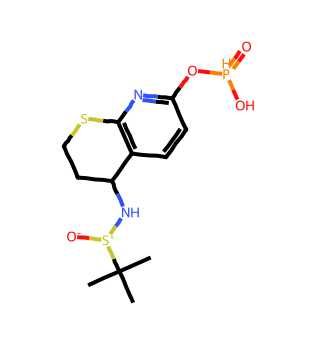 CC(C)(C)[S+]([O-])NC1CCSc2nc(O[PH](=O)O)ccc21